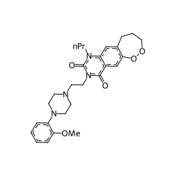 CCCn1c(=O)n(CCN2CCN(c3ccccc3OC)CC2)c(=O)c2cc3c(cc21)CCCOO3